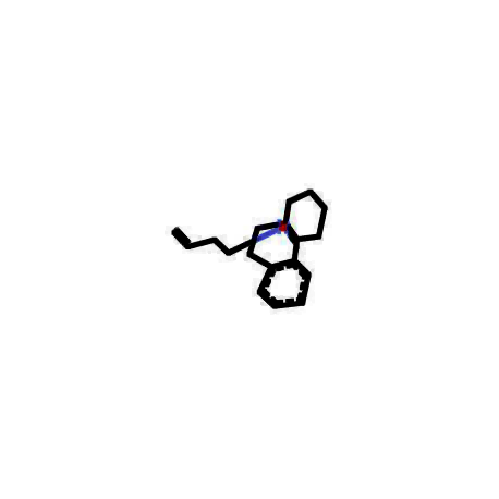 C=CCCN1CCC23CCCCC2(CCc2ccccc23)C1